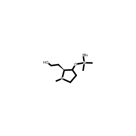 CN1CCC(O[Si](C)(C)C(C)(C)C)[C@@H]1CCO